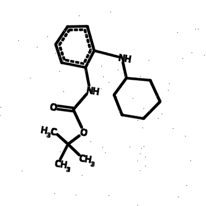 CC(C)(C)OC(=O)Nc1ccccc1NC1CCCCC1